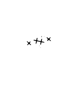 CC(C)(C)OC(C)(C)C(C)(C)OC(C)(C)C